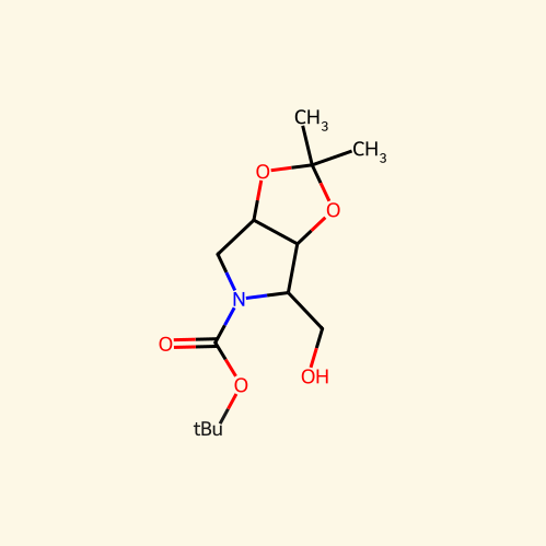 CC(C)(C)OC(=O)N1CC2OC(C)(C)OC2C1CO